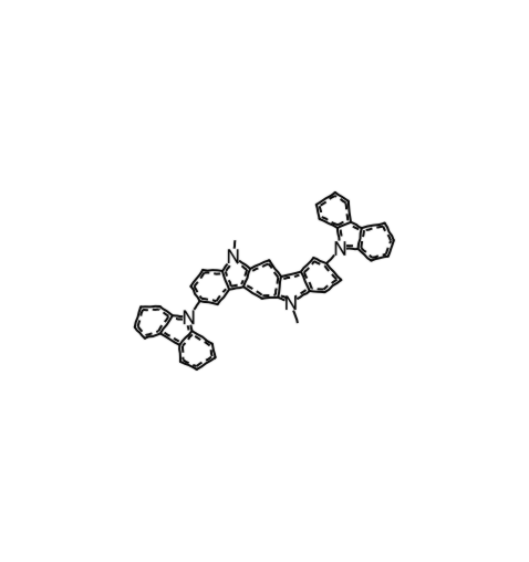 Cn1c2ccc(-n3c4ccccc4c4ccccc43)cc2c2cc3c(cc21)c1cc(-n2c4ccccc4c4ccccc42)ccc1n3C